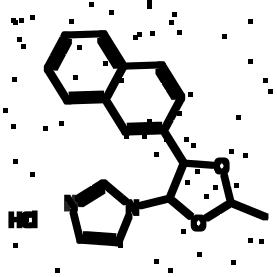 CC1OC(c2ccc3ccccc3c2)C(n2ccnc2)O1.Cl